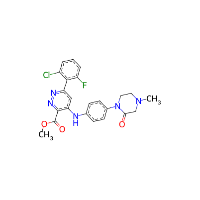 COC(=O)c1nnc(-c2c(F)cccc2Cl)cc1Nc1ccc(N2CCN(C)CC2=O)cc1